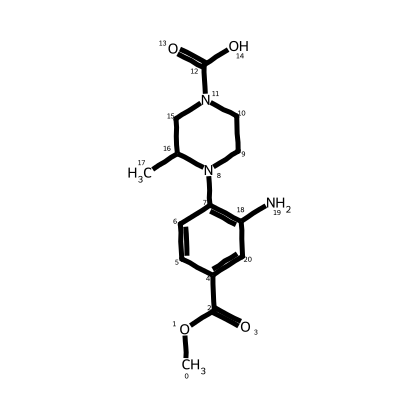 COC(=O)c1ccc(N2CCN(C(=O)O)CC2C)c(N)c1